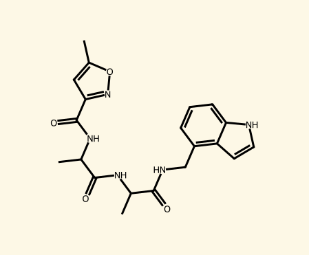 Cc1cc(C(=O)NC(C)C(=O)NC(C)C(=O)NCc2cccc3[nH]ccc23)no1